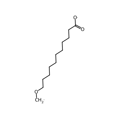 [CH2]OCCCCCCCCCCC([O])=O